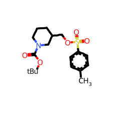 Cc1ccc(S(=O)(=O)OCC2CCCN(C(=O)OC(C)(C)C)C2)cc1